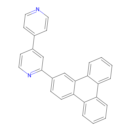 c1ccc2c(c1)c1ccccc1c1cc(-c3cc(-c4ccncc4)ccn3)ccc21